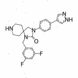 O=C1N(c2ccc(-c3cn[nH]c3)cc2)CC2(CCNCC2)N1Cc1cc(F)cc(F)c1